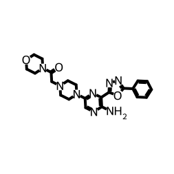 Nc1ncc(N2CCN(CC(=O)N3CCOCC3)CC2)nc1-c1nnc(-c2ccccc2)o1